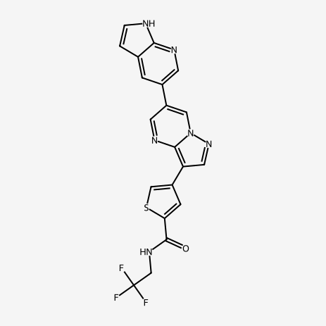 O=C(NCC(F)(F)F)c1cc(-c2cnn3cc(-c4cnc5[nH]ccc5c4)cnc23)cs1